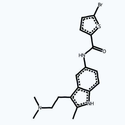 Cc1[nH]c2ccc(NC(=O)c3ccc(Br)s3)cc2c1CCN(C)C